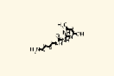 CC1=CC(O)N=C(NC(=O)NCCCCN)N1